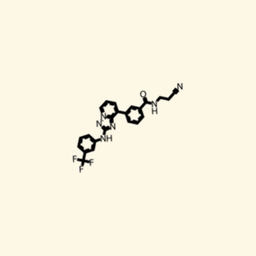 N#CCCNC(=O)c1cccc(-c2cccn3nc(Nc4cccc(C(F)(F)F)c4)nc23)c1